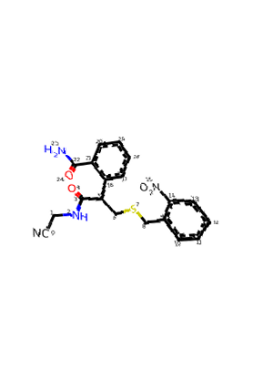 N#CCNC(=O)C(CSCc1ccccc1[N+](=O)[O-])c1ccccc1C(N)=O